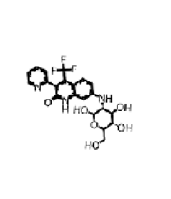 O=c1[nH]c2cc(N[C@@H]3C(O)OC(CO)[C@@H](O)C3O)ccc2c(C(F)(F)F)c1-c1ccccn1